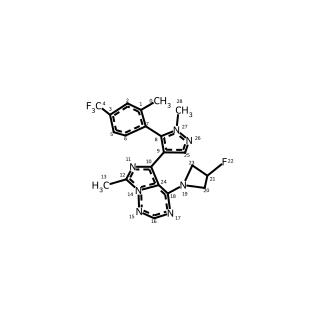 Cc1cc(C(F)(F)F)ccc1-c1c(-c2nc(C)n3ncnc(N4CC(F)C4)c23)cnn1C